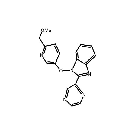 COCc1ccc(On2c(-c3cnccn3)nc3ccccc32)cn1